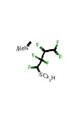 CNC.O=S(=O)(O)C(F)C(F)(F)C(F)C(F)F